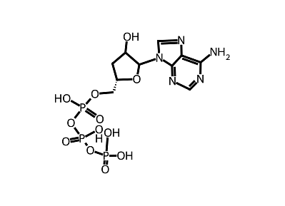 Nc1ncnc2c1ncn2C1O[C@H](COP(=O)(O)OP(=O)(O)OP(=O)(O)O)CC1O